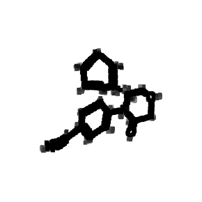 N#Cc1ccc(N2C(=O)COC[C@H]2c2ccccc2)cc1